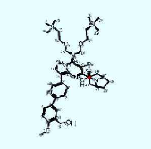 COc1ccc(-c2ccc(-c3cnn4c(N(COCC[Si](C)(C)C)COCC[Si](C)(C)C)c(Br)c(C5CC6CCC(C5)N6C(=O)O)nc34)cn2)cc1CO